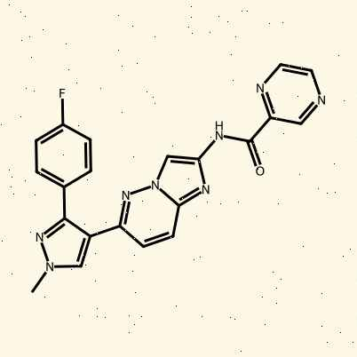 Cn1cc(-c2ccc3nc(NC(=O)c4cnccn4)cn3n2)c(-c2ccc(F)cc2)n1